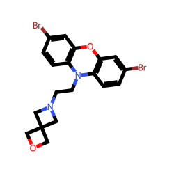 Brc1ccc2c(c1)Oc1cc(Br)ccc1N2CCN1CC2(COC2)C1